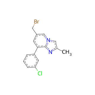 Cc1cn2cc(CBr)cc(-c3cccc(Cl)c3)c2n1